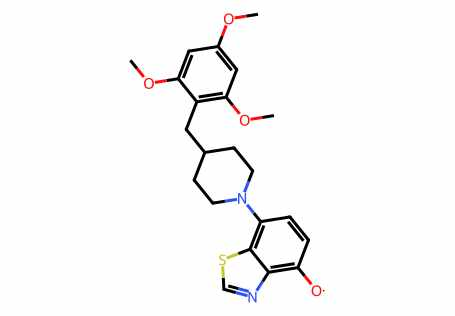 COc1cc(OC)c(CC2CCN(c3ccc([O])c4ncsc34)CC2)c(OC)c1